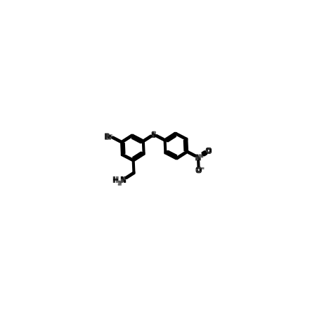 NCc1cc(Br)cc(Sc2ccc([N+](=O)[O-])cc2)c1